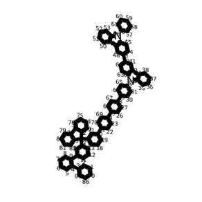 c1ccc(-c2ccccc2-c2cccc(C3(c4cccc(-c5ccc(-c6ccc(-c7ccc(-n8c9ccccc9c9cc(-c%10ccc%11c(c%10)c%10ccccc%10n%11-c%10ccccc%10)ccc98)cc7)cc6)cc5)c4)c4ccccc4-c4ccccc43)c2)cc1